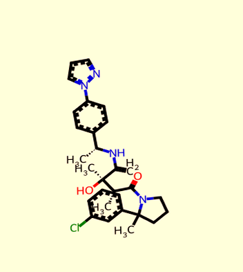 C=C(N[C@H](C)c1ccc(-n2cccn2)cc1)[C@](C)(O)[C@@H](C)C(=O)N1CCCC1(C)c1cccc(Cl)c1